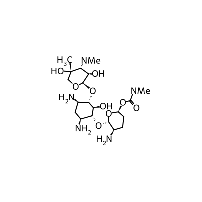 CNC(=O)O[C@H]1CC[C@@H](N)[C@H](O[C@H]2[C@H](O)[C@@H](O[C@H]3OC[C@](C)(O)[C@H](NC)[C@H]3O)[C@H](N)C[C@@H]2N)O1